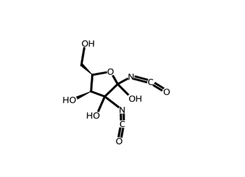 O=C=NC1(O)O[C@H](CO)[C@H](O)C1(O)N=C=O